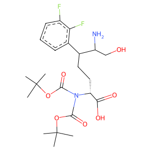 CC(C)(C)OC(=O)N(C(=O)OC(C)(C)C)[C@H](CCC(c1cccc(F)c1F)C(N)CO)C(=O)O